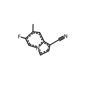 Cc1cc2c(C#N)ccn2cc1F